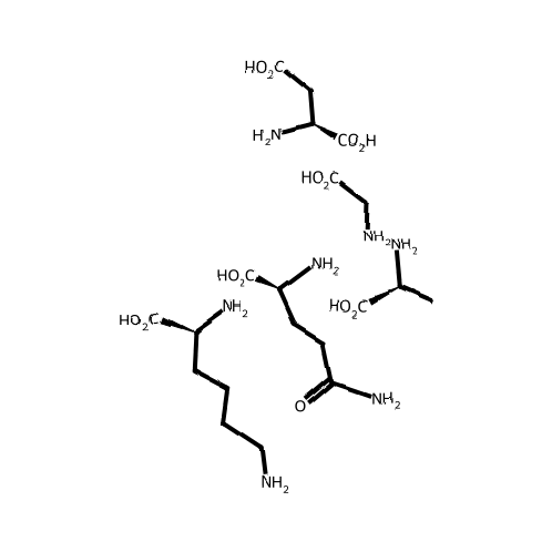 C[C@H](N)C(=O)O.NC(=O)CC[C@H](N)C(=O)O.NCC(=O)O.NCCCC[C@H](N)C(=O)O.N[C@@H](CC(=O)O)C(=O)O